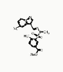 COC(=O)c1ccc(C)c(S(=O)(=O)N(C)N=Cc2cnn3ccc(C#N)cc23)c1